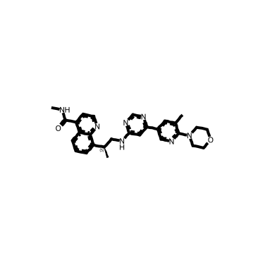 CNC(=O)c1ccnc2c([C@H](C)CNc3cc(-c4cnc(N5CCOCC5)c(C)c4)ncn3)cccc12